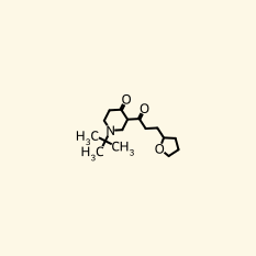 CC(C)(C)N1CCC(=O)C(C(=O)CCC2CCCO2)C1